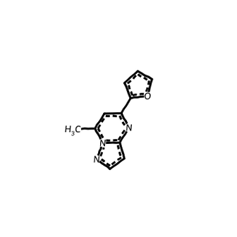 Cc1cc(-c2ccco2)nc2ccnn12